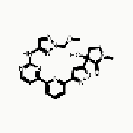 COCn1ncc(Nc2nccc(-c3cccc(-c4cc(C5(O)CCN(C)C5=O)on4)n3)n2)n1